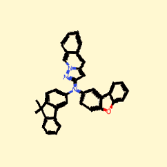 CC1(C)c2ccccc2-c2cc(N(c3ccc4oc5ccccc5c4c3)c3cc4cc5ccccc5cn4n3)ccc21